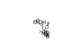 C=C(/C=C/c1c(-c2ccc(F)cc2)nc(N(C)S(C)(=O)=O)nc1C(C)C)C[C@@H](O)CC(=O)OC